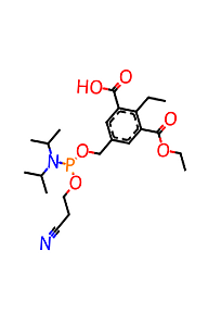 CCOC(=O)c1cc(COP(OCCC#N)N(C(C)C)C(C)C)cc(C(=O)O)c1CC